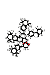 Cc1cc2c3c(c1)N(c1ccc(-c4c(C)cccc4C)cc1)c1c(sc4cc5c(cc14)C(C)(C)CCC5(C)C)B3c1cc3c(cc1N2c1cc2c(cc1-c1ccccc1)C(C)(C)CCC2(C)C)C(C)(C)CCC3(C)C